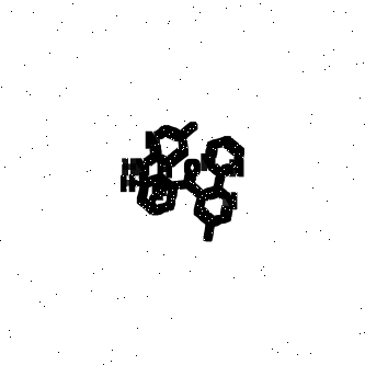 Cc1ccc(N[C@@H]2CC3CC[C@@H]2N(C(=O)c2cc(C)cnc2-c2ncccn2)C3)nc1